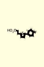 O=C(O)CCc1ccc(-c2ccc(F)cc2)s1